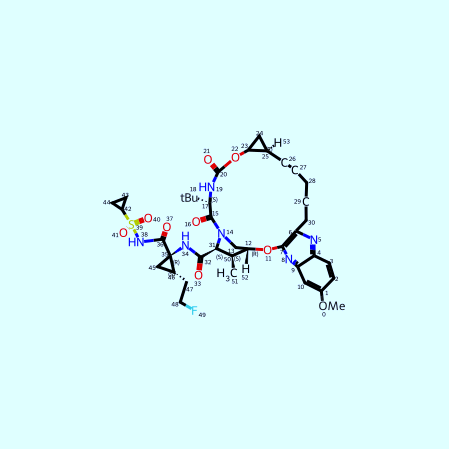 COc1ccc2nc3c(nc2c1)O[C@H]1CN(C(=O)[C@H](C(C)(C)C)NC(=O)OC2C[C@H]2CCCCC3)[C@H](C(=O)N[C@]2(C(=O)NS(=O)(=O)C3CC3)C[C@H]2CCF)[C@@H]1C